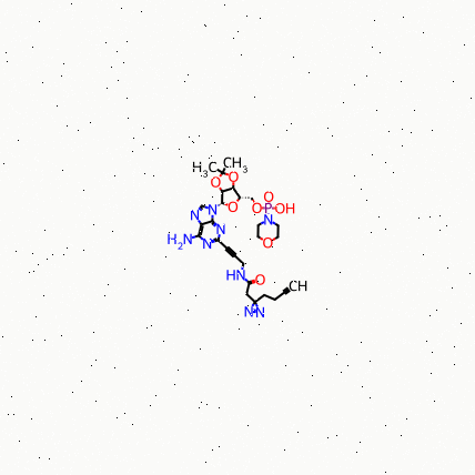 C#CCCC1(CC(=O)NCC#Cc2nc(N)c3ncn([C@H]4O[C@@H](COP(=O)(O)N5CCOCC5)C5OC(C)(C)OC54)c3n2)N=N1